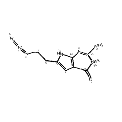 [N-]=[N+]=NCCc1cc2c(=O)[nH]c(N)nc2[nH]1